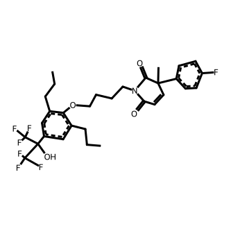 CCCc1cc(C(O)(C(F)(F)F)C(F)(F)F)cc(CCC)c1OCCCCN1C(=O)C=CC(C)(c2ccc(F)cc2)C1=O